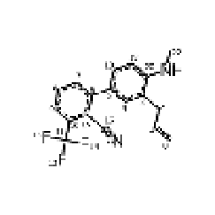 C=CCc1cc(-c2cccc(C(F)(F)F)c2C#N)ccc1NC